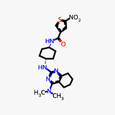 CN(C)c1nc(N[C@H]2CC[C@@H](NC(=O)c3csc([N+](=O)[O-])c3)CC2)nc2c1CCCC2